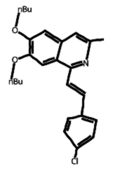 CCCCOc1cc2cc(C)nc(C=Cc3ccc(Cl)cc3)c2cc1OCCCC